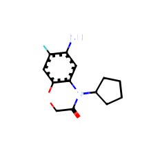 Nc1cc2c(cc1F)OCC(=O)N2C1CCCC1